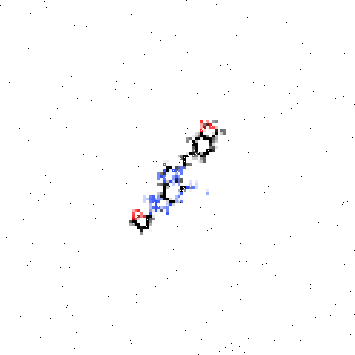 NC1=NC2=NN(c3ccco3)NC2=C2N=CN(CCc3ccc4c(c3)OOC4)N12